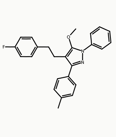 COc1c(CCc2ccc(F)cc2)c(-c2ccc(C)cc2)nn1-c1ccccc1